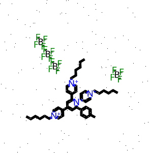 CCCCCC[n+]1ccc(-c2cc(-c3ccc(C)cc3)[n+](-c3cc[n+](CCCCCC)cc3)c(-c3cc[n+](CCCCCC)cc3)c2)cc1.F[B-](F)(F)F.F[B-](F)(F)F.F[B-](F)(F)F.F[B-](F)(F)F